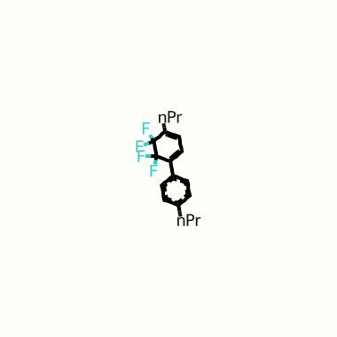 CCCC1=CC=C(c2ccc(CCC)cc2)C(F)(F)C1(F)F